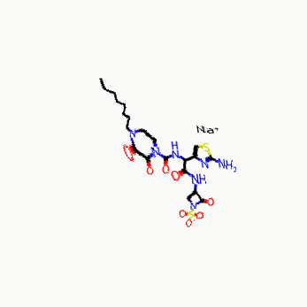 CCCCCCCCN1CCN(C(=O)NC(C(=O)NC2CN(S(=O)(=O)[O-])C2=O)c2csc(N)n2)C(=O)C1=O.[Na+]